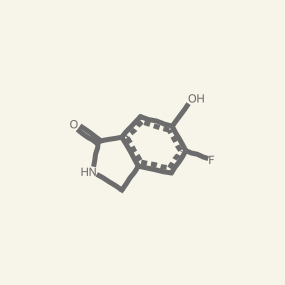 O=C1NCc2cc(F)c(O)cc21